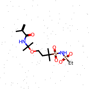 C=C(C)C(=O)NC(C)(C)OCCC(C)(C)S(=O)(=O)NS(=O)(=O)CC